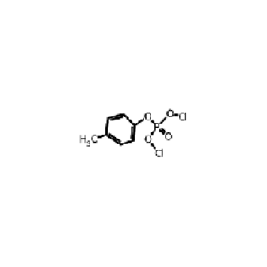 Cc1ccc(OP(=O)(OCl)OCl)cc1